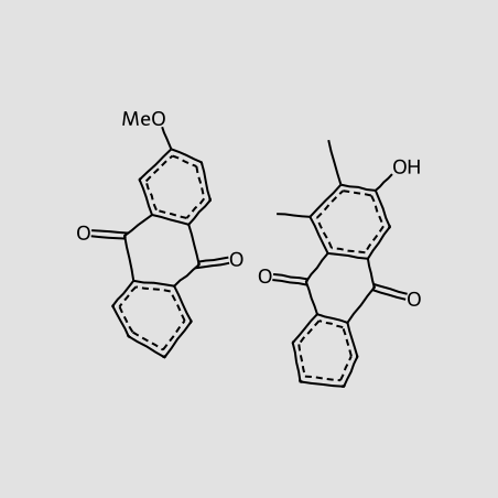 COc1ccc2c(c1)C(=O)c1ccccc1C2=O.Cc1c(O)cc2c(c1C)C(=O)c1ccccc1C2=O